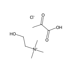 CC(=O)C(=O)O.C[N+](C)(C)CCO.[Cl-]